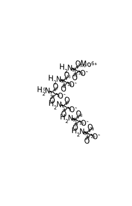 NS(=O)(=O)[O-].NS(=O)(=O)[O-].NS(=O)(=O)[O-].NS(=O)(=O)[O-].NS(=O)(=O)[O-].NS(=O)(=O)[O-].[Mo+6]